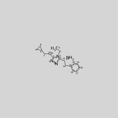 CCn1c(OCC2CC2)nnc1[C@H](N)Cc1ccccc1